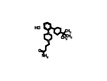 CC(C)(C)C1CCC(c2ccccc2N2CCN(CCCC(N)=O)CC2)CC1.Cl